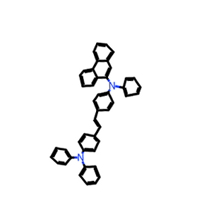 C(=C\c1ccc(N(c2ccccc2)c2cc3ccccc3c3ccccc23)cc1)/c1ccc(N(c2ccccc2)c2ccccc2)cc1